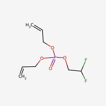 C=CCOP(=O)(OCC=C)OCC(F)F